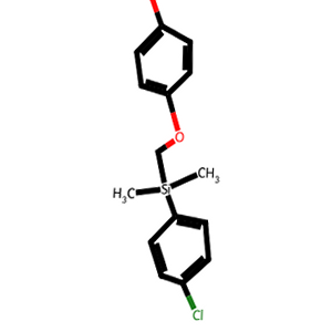 C[Si](C)(COc1ccc(O)cc1)c1ccc(Cl)cc1